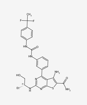 CC[C@H](CO)Nc1nc(-c2cccc(NC(=O)Nc3ccc(C(C)(F)F)cc3)c2)c2c(N)c(C(N)=O)sc2n1